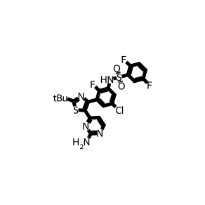 CC(C)(C)c1nc(-c2cc(Cl)cc(NS(=O)(=O)c3cc(F)ccc3F)c2F)c(-c2ccnc(N)n2)s1